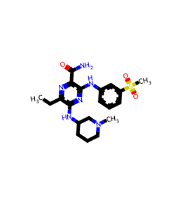 CCc1nc(C(N)=O)c(Nc2cccc(S(C)(=O)=O)c2)nc1NC1CCCN(C)C1